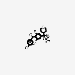 CCC(O[Si](C)(C)C)(c1cc(F)c(C(=O)c2ccc(Cl)cc2)c(C(=O)O)c1)C1CCOCC1